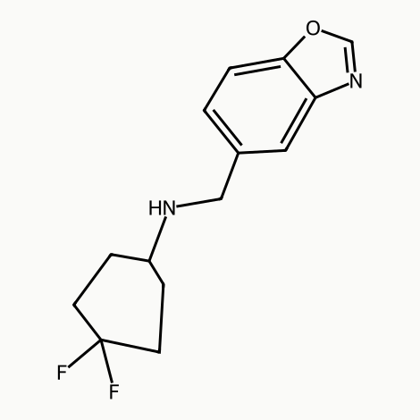 FC1(F)CCC(NCc2ccc3ocnc3c2)CC1